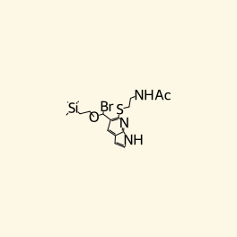 CC(=O)NCCSc1nc2[nH]ccc2cc1C(Br)OCC[Si](C)(C)C